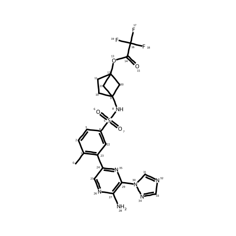 Cc1ccc(S(=O)(=O)NC23CCC(OC(=O)C(F)(F)F)(C2)C3)cc1-c1cnc(N)c(-n2cncn2)n1